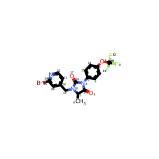 CC1C(=O)N(c2ccc(OC(F)(F)F)cc2)C(=O)N1Cc1ccnc(Br)c1